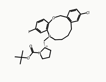 CC(C)(C)OC(=O)N1CCC[C@H]1CN1CCCCc2cc(Cl)ccc2COc2ccc(I)cc21